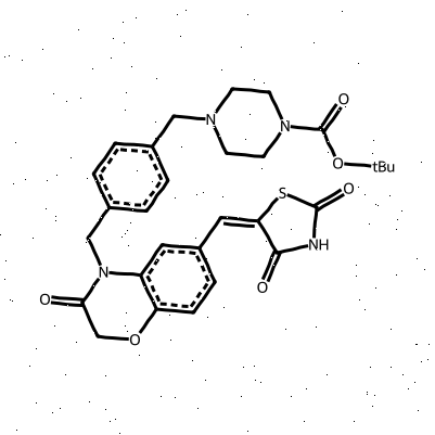 CC(C)(C)OC(=O)N1CCN(Cc2ccc(CN3C(=O)COc4ccc(C=C5SC(=O)NC5=O)cc43)cc2)CC1